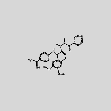 CCOc1cc(C(Nc2ccc(C(=N)N)cc2)C(=O)N(C)N(C)C(=O)c2ccncc2)c(F)cc1OC(C)C